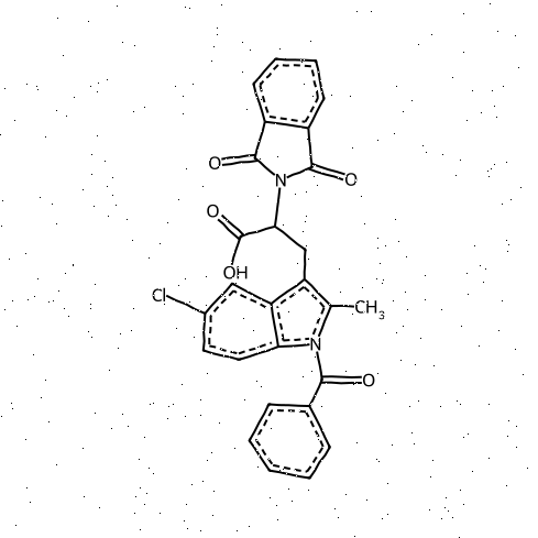 Cc1c(CC(C(=O)O)N2C(=O)c3ccccc3C2=O)c2cc(Cl)ccc2n1C(=O)c1ccccc1